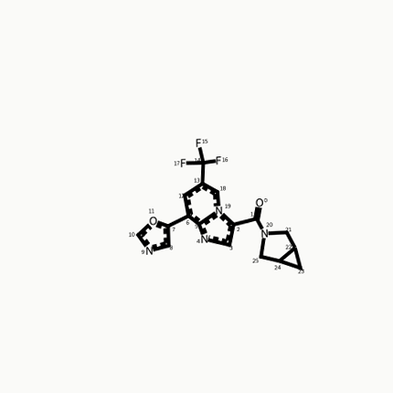 O=C(c1cnc2c(-c3cnco3)cc(C(F)(F)F)cn12)N1CC2CC2C1